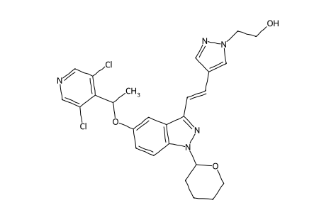 CC(Oc1ccc2c(c1)c(/C=C/c1cnn(CCO)c1)nn2C1CCCCO1)c1c(Cl)cncc1Cl